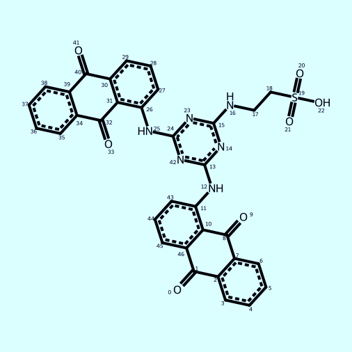 O=C1c2ccccc2C(=O)c2c(Nc3nc(NCCS(=O)(=O)O)nc(Nc4cccc5c4C(=O)c4ccccc4C5=O)n3)cccc21